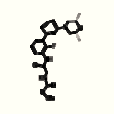 C[C@@H]1CN(c2cccc(-c3cccc(NC(=O)CNC(=O)OC(C)(C)C)c3F)c2)C[C@H](C)O1